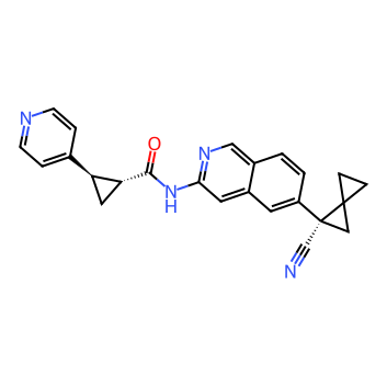 N#C[C@@]1(c2ccc3cnc(NC(=O)[C@@H]4C[C@H]4c4ccncc4)cc3c2)CC12CC2